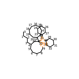 CCCCC1CCCCCPC(C2CCCCCCCC2)(P(C2CCCCC2)C2CCCCC2)C1